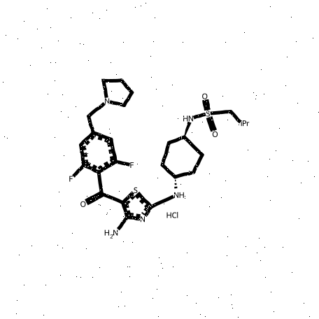 CC(C)CS(=O)(=O)N[C@H]1CC[C@H](Nc2nc(N)c(C(=O)c3c(F)cc(CN4CCCC4)cc3F)s2)CC1.Cl